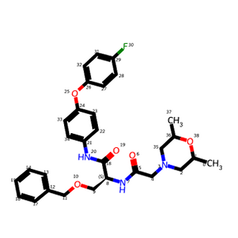 CC1CN(CC(=O)N[C@@H](COCc2ccccc2)C(=O)Nc2ccc(Oc3ccc(F)cc3)cc2)CC(C)O1